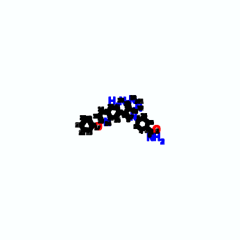 NC(=O)C1CCC(n2cc(-c3ccc4ccc(Oc5ccccc5)nc4c3)c3c(N)ncnc32)CC1